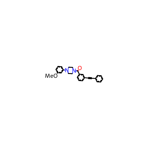 COc1cccc(N2CCN(C(=O)c3cccc(C#Cc4ccccc4)c3)CC2)c1